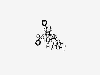 CC(C)(C)OC(=O)c1ncn([C@@H]2O[C@H](COC(=O)c3ccccc3)[C@@H](OC(=O)c3ccccc3)[C@H]2F)c1N